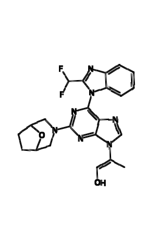 CC(=CO)n1cnc2c(-n3c(C(F)F)nc4ccccc43)nc(N3CC4CCC(C3)O4)nc21